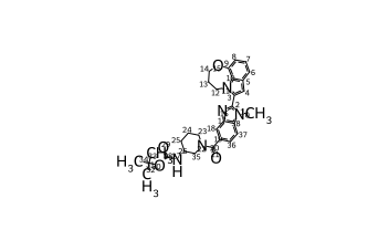 Cn1c(-c2cc3cccc4c3n2CCCO4)nc2cc(C(=O)N3CCC[C@@H](NC(=O)OC(C)(C)C)C3)ccc21